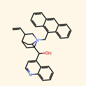 C=CC1C[N+]2(Cc3c4ccccc4cc4ccccc34)CCC1CC2C(O)c1ccnc2ccccc12